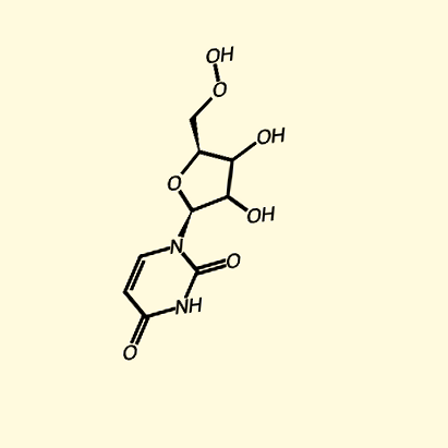 O=c1ccn([C@H]2O[C@@H](COO)C(O)C2O)c(=O)[nH]1